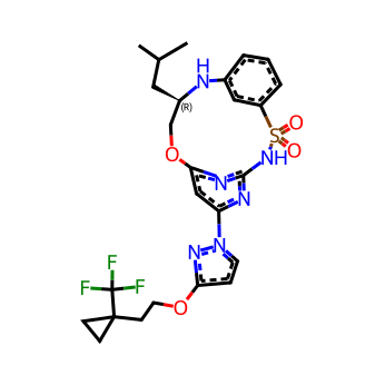 CC(C)C[C@@H]1COc2cc(-n3ccc(OCCC4(C(F)(F)F)CC4)n3)nc(n2)NS(=O)(=O)c2cccc(c2)N1